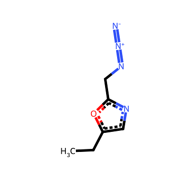 CCc1cnc(CN=[N+]=[N-])o1